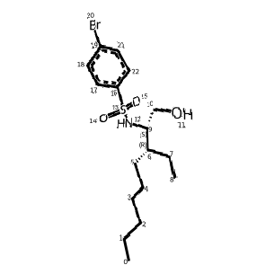 CCCCCC[C@@H](CC)[C@@H](CO)NS(=O)(=O)c1ccc(Br)cc1